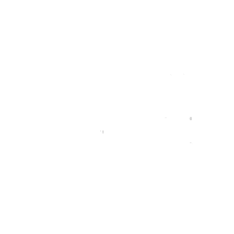 Cn1cc(-c2nc3c(-c4ccc(CNSCC5CCCSC5)c(F)c4)ccnc3[nH]2)cn1